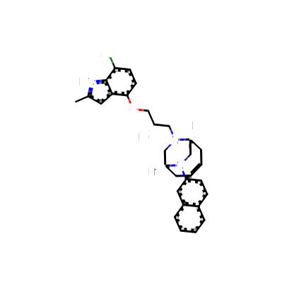 Cc1cc2c(OC[C@@H](O)CN3C[C@@H]4C/C=C\C[C@H]3CN4c3ccc4ccccc4c3)ccc(Cl)c2[nH]1